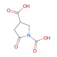 O=C(O)C1CC(=O)N(C(=O)O)C1